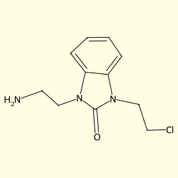 NCCn1c(=O)n(CCCl)c2ccccc21